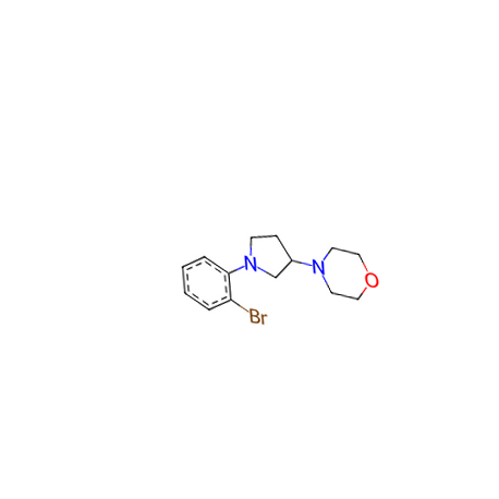 Brc1ccccc1N1CCC(N2CCOCC2)C1